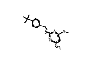 CSc1cc(N)nc(SCc2ccc(C(C)(C)C)cc2)n1